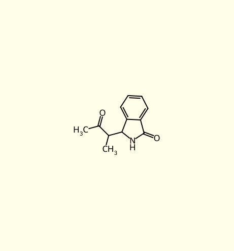 CC(=O)C(C)C1NC(=O)c2ccccc21